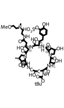 COCCN(C)CCNC(=O)C[C@@H](O)[C@@H]1NC(=O)[C@H]([C@H](O)Cc2ccc(O)c(OS(=O)(=O)O)c2)NC(=O)[C@@H]2C[C@@H](O)CN2C(=O)C([C@@H](C)O)NC(=O)[C@@H](NC(=O)OC(C)(C)C)C[C@@H](O)CNC(=O)[C@@H]2[C@@H](O)[C@@H](C)CN2C1=O